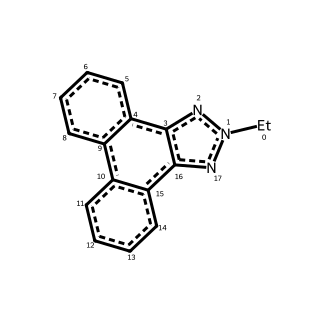 CCn1nc2c3ccccc3c3ccccc3c2n1